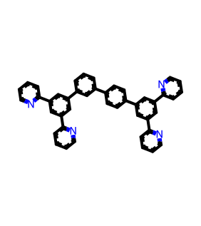 c1ccc(-c2cc(-c3ccc(-c4cccc(-c5cc(-c6ccccn6)cc(-c6ccccn6)c5)c4)cc3)cc(-c3ccccn3)c2)nc1